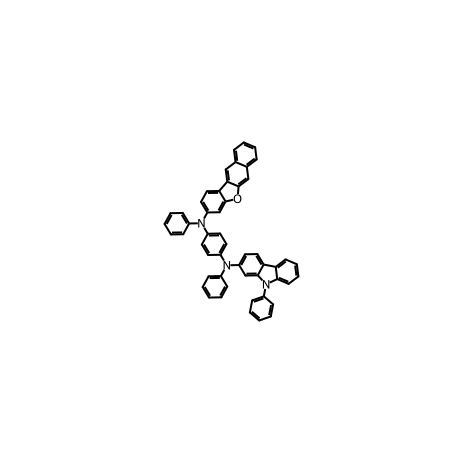 c1ccc(N(c2ccc(N(c3ccccc3)c3ccc4c5ccccc5n(-c5ccccc5)c4c3)cc2)c2ccc3c(c2)oc2cc4ccccc4cc23)cc1